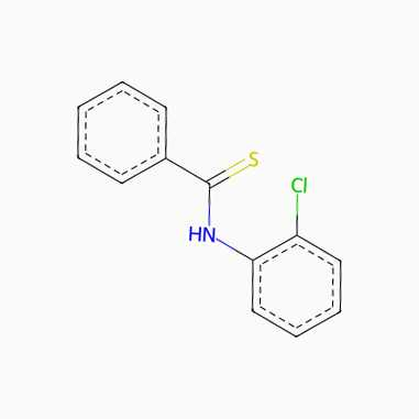 S=C(Nc1ccccc1Cl)c1ccccc1